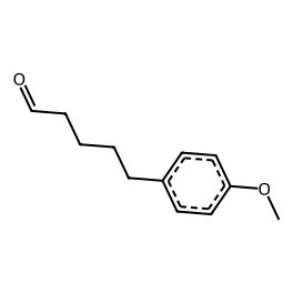 COc1ccc(CCCCC=O)cc1